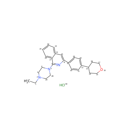 CCN1CCN(c2nc(-c3ccc(C4CCOCC4)cc3)cc3ccccc23)CC1.Cl